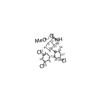 COC[C@@]12CC[C@@H](c3ccc(Cl)cc3Cl)[C@H](c3ccc(Cl)cc3)C1[C@@H](C)NC2=O